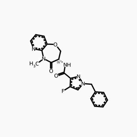 CN1C(=O)[C@@H](NC(=O)c2nn(Cc3ccccc3)cc2F)COc2cccnc21